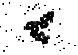 O=C(N[C@@H]1CCC1(F)F)c1cnn2c3c(c(Nc4cccn([C@H]5[C@@H]6COC[C@@H]65)c4=O)nc12)OCCN3